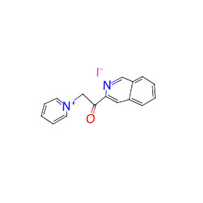 O=C(C[n+]1ccccc1)c1cc2ccccc2cn1.[I-]